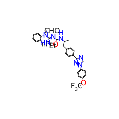 CCCc1ccccc1N(C=O)/C(=N/C(=O)NC(C)Cc1ccc(-c2ncn(-c3ccc(OC(F)(F)F)cc3)n2)cc1)NCC